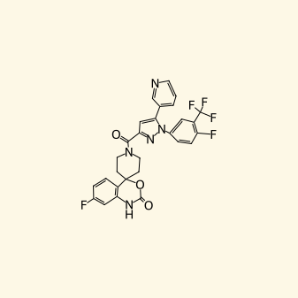 O=C1Nc2cc(F)ccc2C2(CCN(C(=O)c3cc(-c4cccnc4)n(-c4ccc(F)c(C(F)(F)F)c4)n3)CC2)O1